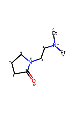 CCN(CC)CCN1CCCC1=O